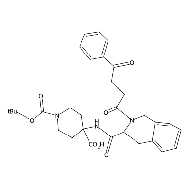 CC(C)(C)OC(=O)N1CCC(NC(=O)C2Cc3ccccc3CN2C(=O)CCC(=O)c2ccccc2)(C(=O)O)CC1